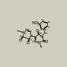 CN1N=CC(c2nn(C)c(=O)n(Cc3cccc(C#N)c3)c2=O)C(=O)C1=O